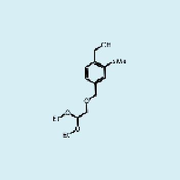 CCOC(COCc1ccc(CO)c(SC)c1)OCC